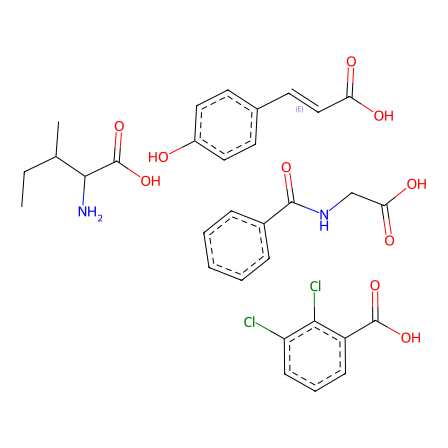 CCC(C)C(N)C(=O)O.O=C(O)/C=C/c1ccc(O)cc1.O=C(O)CNC(=O)c1ccccc1.O=C(O)c1cccc(Cl)c1Cl